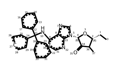 CC[C@H]1O[C@@H](n2cnc3c(NC(c4ccccc4)(c4ccccc4)c4ccccc4)ncnc32)C(=O)C1C